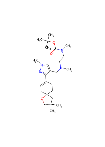 CN(CCN(C)C(=O)OC(C)(C)C)Cc1cn(C)nc1C1=CCC2(CC1)CC(C)(C)CO2